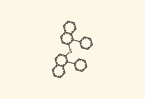 c1ccc(-c2c(Sc3ccc4ccccc4c3-c3ccccc3)ccc3ccccc23)cc1